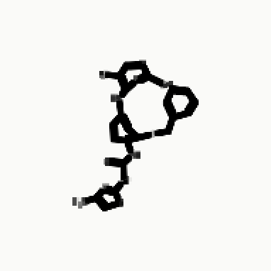 Cc1csc(NC(=O)Nc2ccc3cc2CCc2cccc(c2)Nc2ncc(Cl)c(n2)N3)n1